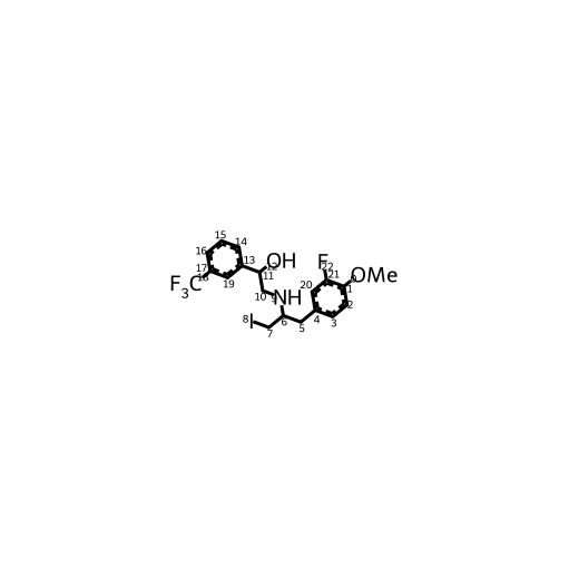 COc1ccc(CC(CI)NCC(O)c2cccc(C(F)(F)F)c2)cc1F